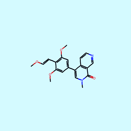 CO/C=C/c1c(OC)cc(-c2cn(C)c(=O)c3cnccc23)cc1OC